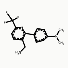 CN(C)c1ccc(-c2nc(C(F)(F)F)ccc2CN)cc1